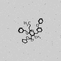 CCCc1nc(Cc2cccc(Oc3ccccc3)c2)c(C)c(C(=O)OC2CCCC2)c1OCc1ccccc1